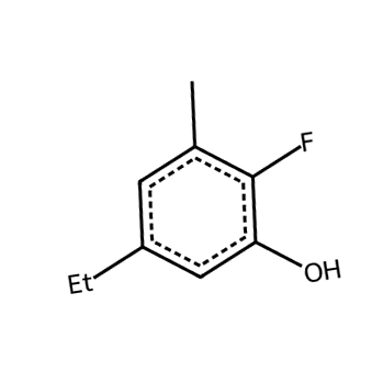 CCc1cc(C)c(F)c(O)c1